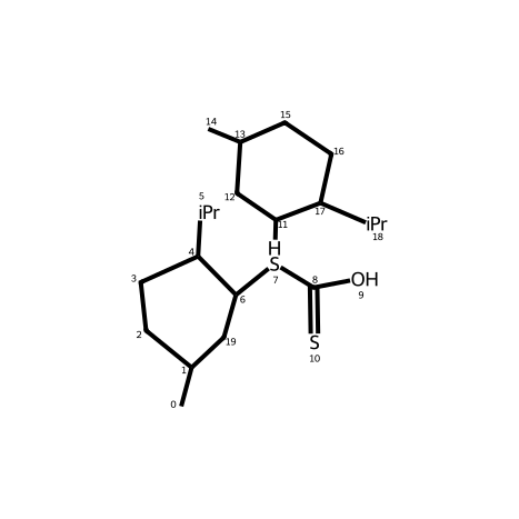 CC1CCC(C(C)C)C([SH](C(O)=S)C2CC(C)CCC2C(C)C)C1